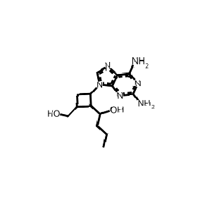 CCCC(O)C1C(CO)CC1n1cnc2c(N)nc(N)nc21